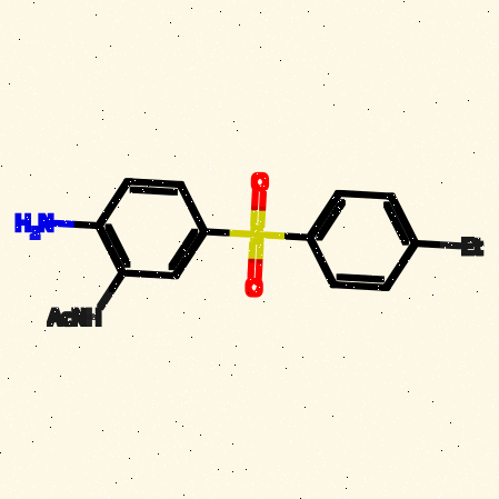 CCc1ccc(S(=O)(=O)c2ccc(N)c(NC(C)=O)c2)cc1